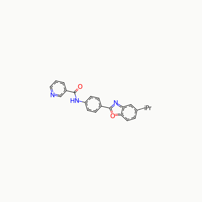 CC(C)c1ccc2oc(-c3ccc(NC(=O)c4cccnc4)cc3)nc2c1